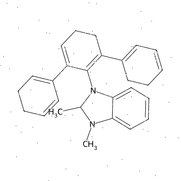 CC1N(C)c2ccccc2N1C1=C(C2=CC=CCC2)CCC=C1C1=CCCC=C1